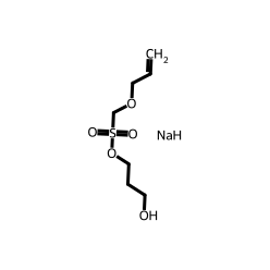 C=CCOCS(=O)(=O)OCCCO.[NaH]